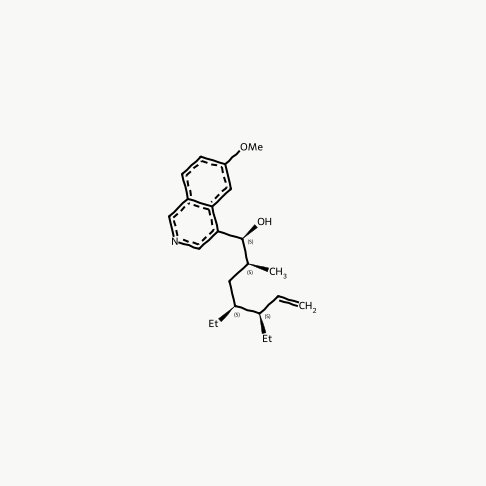 C=C[C@@H](CC)[C@@H](CC)C[C@H](C)[C@H](O)c1cncc2ccc(OC)cc12